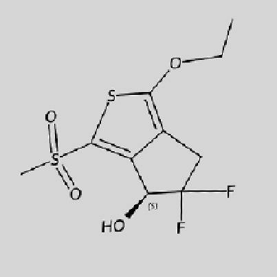 CCOc1sc(S(C)(=O)=O)c2c1CC(F)(F)[C@H]2O